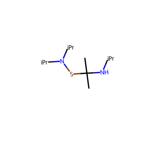 CC(C)NC(C)(C)SN(C(C)C)C(C)C